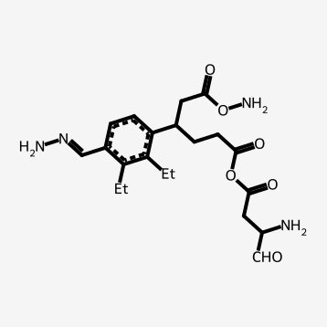 CCc1c(C=NN)ccc(C(CCC(=O)OC(=O)CC(N)C=O)CC(=O)ON)c1CC